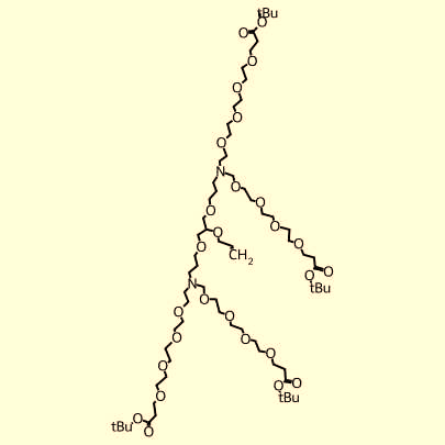 C=CCOC(COCCCN(CCOCCOCCOCCOCCC(=O)OC(C)(C)C)COCCOCCOCCOCCC(=O)OC(C)(C)C)COCCCN(CCOCCOCCOCCOCCC(=O)OC(C)(C)C)COCCOCCOCCOCCC(=O)OC(C)(C)C